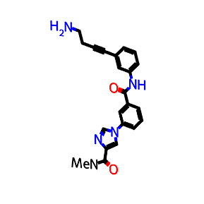 CNC(=O)c1cn(-c2cccc(C(=O)Nc3cccc(C#CCCN)c3)c2)cn1